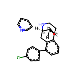 Clc1ccc(-c2cccc3c2C[C@H]2NCC[C@@]34CCCC[C@@H]24)cc1.c1ccncc1